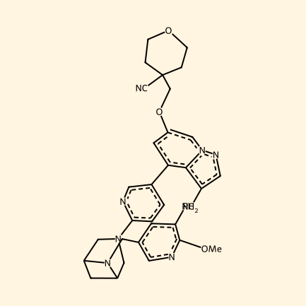 COc1ncc(CN2C3CC2CN(c2ccc(-c4cc(OCC5(C#N)CCOCC5)cn5ncc(C#N)c45)cn2)C3)cc1P